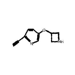 C#Cc1ccc(OC2CNC2)cn1